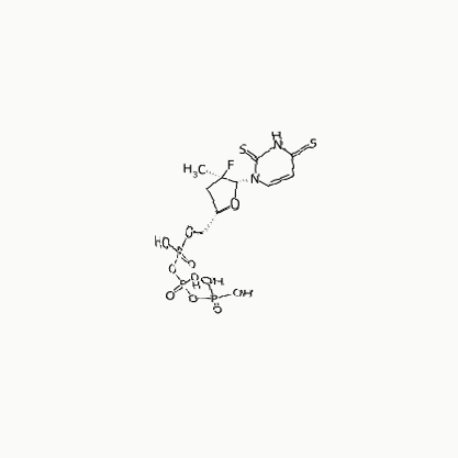 C[C@@]1(F)C[C@@H](COP(=O)(O)OP(=O)(O)OP(=O)(O)O)O[C@H]1n1ccc(=S)[nH]c1=S